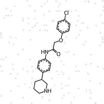 O=C(COc1ccc(Cl)cc1)Nc1ccc(C2CCCNC2)cc1